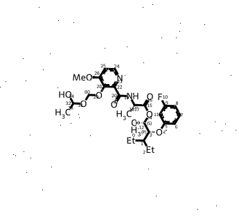 CCC(CC)[C@@H](Oc1cccc(F)c1)[C@H](C)OC(=O)[C@H](C)NC(=O)c1nccc(OC)c1OCOC(C)O